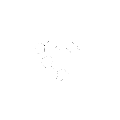 Cn1ccc(NC(=O)N2c3nc(-c4cccc(Cl)c4)ccc3N3CC[C@H]2C3)n1